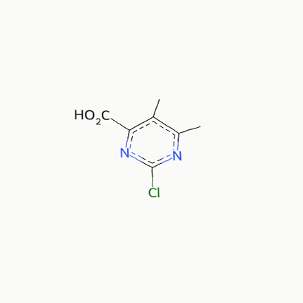 Cc1nc(Cl)nc(C(=O)O)c1C